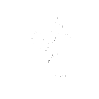 C[C@@H](O)CONC(=O)c1c(Nc2ccc(I)cc2F)c2cnccc2n1C